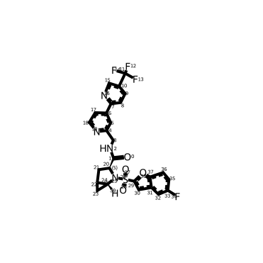 O=C(NCc1cc(-c2ccc(C(F)(F)F)cn2)ccn1)[C@@H]1CC2C[C@H]2N1S(=O)(=O)c1cc2cc(F)ccc2o1